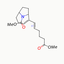 COC(=O)CCC/C=C/C1=CCCC2CCC1N2C(=O)OC